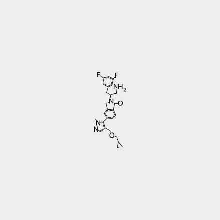 Cn1ncc(COCC2CC2)c1-c1ccc2c(c1)CN([C@H](CN)Cc1cc(F)cc(F)c1)C2=O